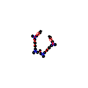 c1ccc(N(c2ccc(COc3ccc4c(c3)CC4)cc2)c2ccc(-c3ccc(-c4ccc(-c5ccc(N(c6ccccc6)c6cccc(C7=C(c8cccc(N(c9ccccc9)c9ccc(-c%10ccc(-c%11ccc(-c%12ccc(N(c%13ccccc%13)c%13ccc(COc%14ccc%15c(c%14)CC%15)cc%13)cc%12)cc%11)cc%10)cc9)c8)CCC7)c6)cc5)cc4)cc3)cc2)cc1